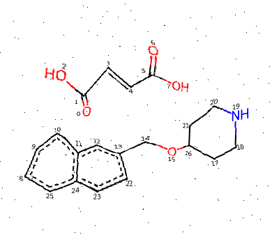 O=C(O)/C=C/C(=O)O.c1ccc2cc(COC3CCNCC3)ccc2c1